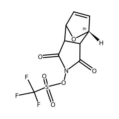 O=C1C2C3C=C[C@@H](O3)C2C(=O)N1OS(=O)(=O)C(F)(F)F